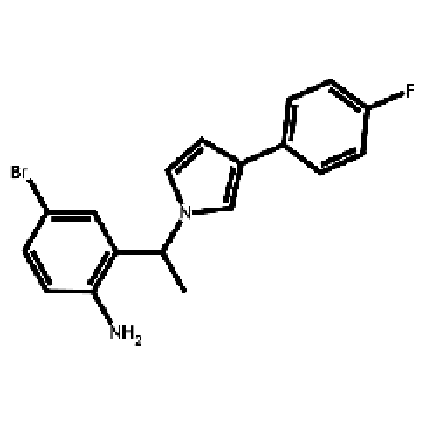 CC(c1cc(Br)ccc1N)n1ccc(-c2ccc(F)cc2)c1